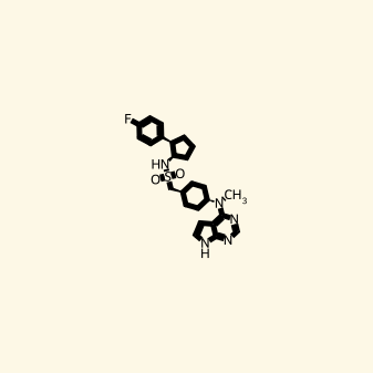 CN(c1ncnc2[nH]ccc12)[C@H]1CC[C@H](CS(=O)(=O)N[C@@H]2CCC[C@@H]2c2ccc(F)cc2)CC1